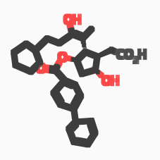 CC(=C(O)CCC1CCCCC1)[C@@H]1[C@@H](CC(=O)O)[C@@H](O)C[C@H]1OC(=O)c1ccc(-c2ccccc2)cc1